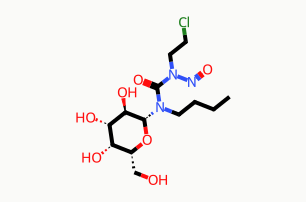 CCCCN(C(=O)N(CCCl)N=O)[C@@H]1O[C@H](CO)[C@H](O)[C@H](O)[C@H]1O